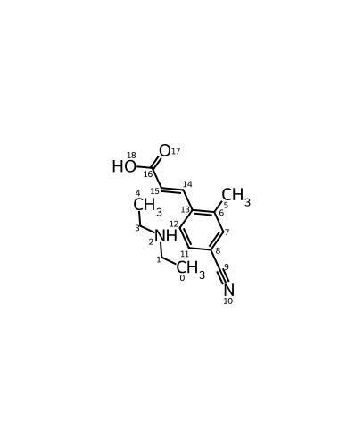 CCNCC.Cc1cc(C#N)ccc1C=CC(=O)O